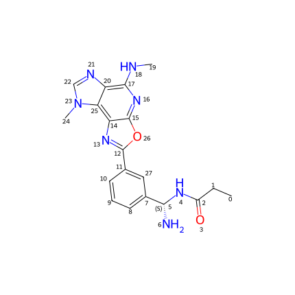 CCC(=O)N[C@H](N)c1cccc(-c2nc3c(nc(NC)c4ncn(C)c43)o2)c1